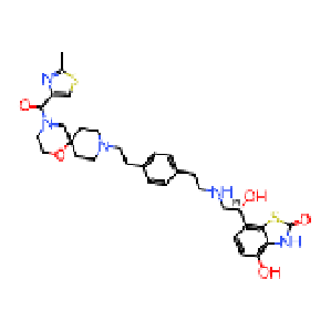 Cc1nc(C(=O)N2CCOC3(CCN(CCc4ccc(CCNC[C@H](O)c5ccc(O)c6[nH]c(=O)sc56)cc4)CC3)C2)cs1